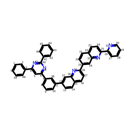 c1ccc(-c2cc(-c3cccc(-c4ccc5ccc(-c6ccc7ccc(-c8ccccn8)nc7c6)nc5c4)c3)nc(-c3ccccc3)n2)cc1